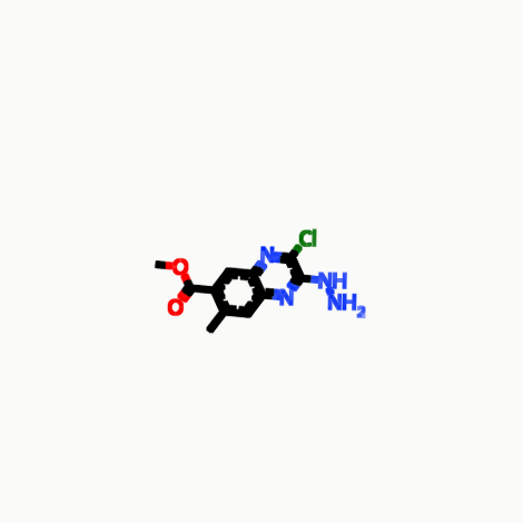 COC(=O)c1cc2nc(Cl)c(NN)nc2cc1C